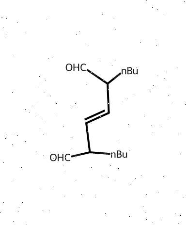 CCCCC(C=O)/C=C/C(C=O)CCCC